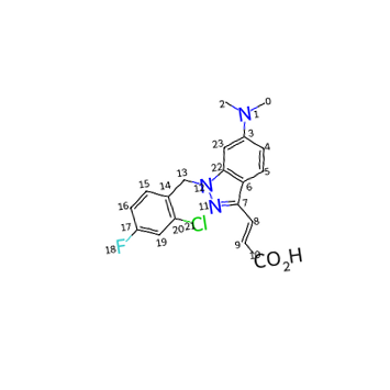 CN(C)c1ccc2c(C=CC(=O)O)nn(Cc3ccc(F)cc3Cl)c2c1